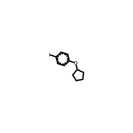 Ic1ccc(OC2CCCC2)cc1